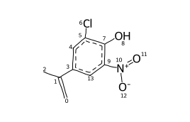 C=C(C)c1cc(Cl)c(O)c([N+](=O)[O-])c1